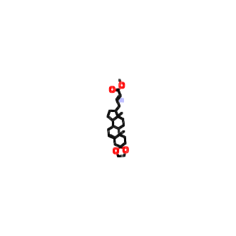 COC(=O)/C=C/CC1CCC2C3CC=C4CC5(CCC4(C)C3CCC12C)OCCO5